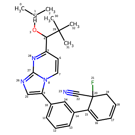 C[SiH](C)OC(c1ccn2c(-c3cccc(C4=CC=CCC4(F)C#N)c3)cnc2n1)C(C)(C)C